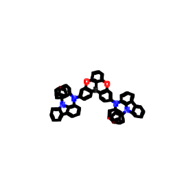 c1ccc(N(c2ccc3c(c2)Oc2cccc4c2B3c2ccc(N(c3ccccc3)c3cccc5c6ccccc6n(-c6ccccc6)c35)cc2O4)c2cccc3c4ccccc4n(-c4ccccc4)c23)cc1